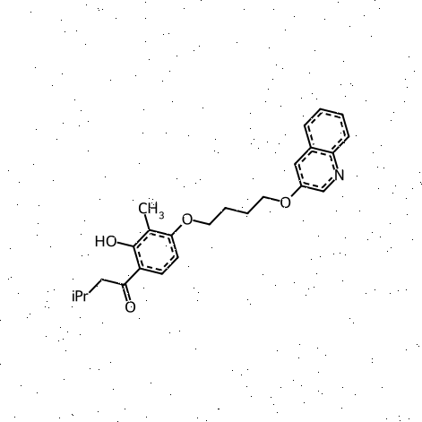 Cc1c(OCCCCOc2cnc3ccccc3c2)ccc(C(=O)CC(C)C)c1O